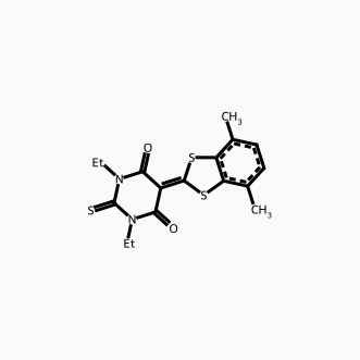 CCN1C(=O)C(=C2Sc3c(C)ccc(C)c3S2)C(=O)N(CC)C1=S